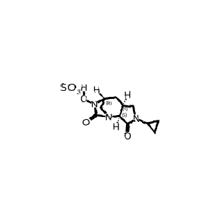 O=C1[C@@H]2[C@@H](C[C@@H]3CN2C(=O)N3OS(=O)(=O)O)CN1C1CC1